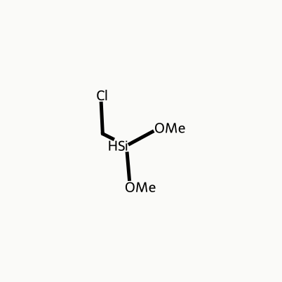 CO[SiH](CCl)OC